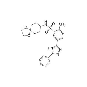 Cc1ccc(-c2nnc(-c3ccccc3)[nH]2)cc1S(=O)(=O)NC1CCC2(CC1)OCCO2